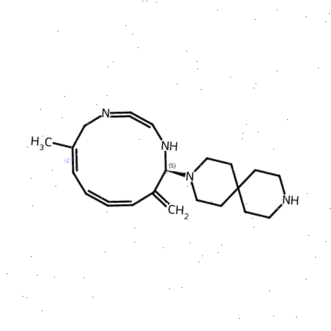 C=C1C=C=C/C=C(/C)CN=C=CN[C@H]1N1CCC2(CCNCC2)CC1